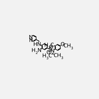 COc1ccc(N(C(C)C)S(=O)(=O)c2ccc(NCc3ccnnc3)c(N)c2)c(C)c1